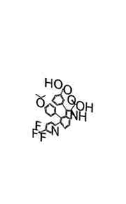 CC(C)Oc1ccc(-c2c(-c3ccc(C(F)(F)F)cn3)ccc3[nH]c(C(=O)O)c(-c4cccc(C(=O)O)c4)c23)cc1